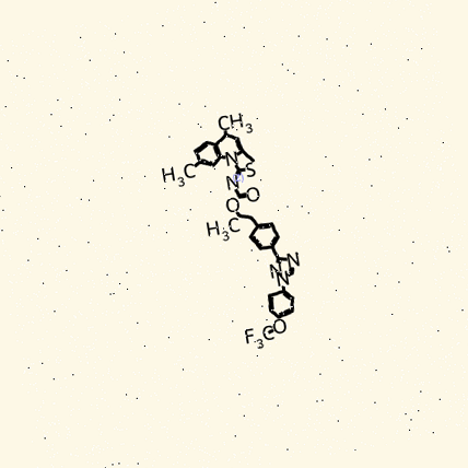 Cc1ccc2c(c1)N1C(=CC2C)CS/C1=N\C(=O)OC(C)Cc1ccc(-c2ncn(-c3ccc(OC(F)(F)F)cc3)n2)cc1